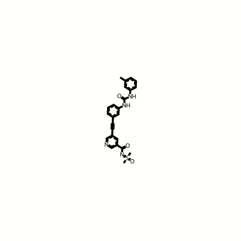 Cc1cccc(NC(=O)Nc2cccc(C#Cc3cncc(C(=O)N=S(C)(C)=O)c3)c2)c1